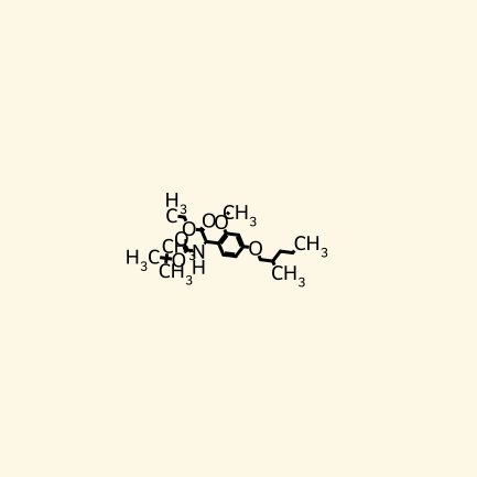 CCCC(C)COc1ccc([C@@H](NC(=O)OC(C)(C)C)C(=O)OCC)c(OC)c1